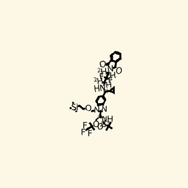 [2H]C([2H])(N[C@@H](c1ccc2c(c1)nc([C@H](COC(C)(C)C(F)(F)F)N[S@+]([O-])C(C)(C)C)n2COCC[Si](C)(C)C)C1CC1)C(F)(F)C([2H])([2H])N1C(=O)c2ccccc2C1=O